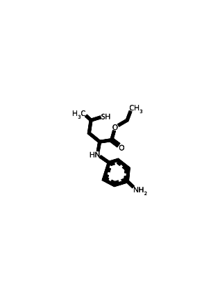 CCOC(=O)C(CC(C)S)Nc1ccc(N)cc1